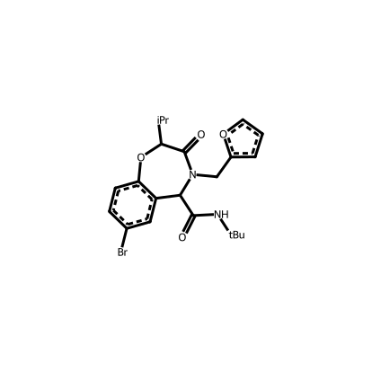 CC(C)C1Oc2ccc(Br)cc2C(C(=O)NC(C)(C)C)N(Cc2ccco2)C1=O